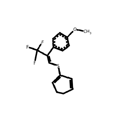 COc1ccc(/C(=C\SC2=CCCC=C2)C(F)(F)F)cc1